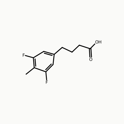 Cc1c(F)cc(CCCC(=O)O)cc1F